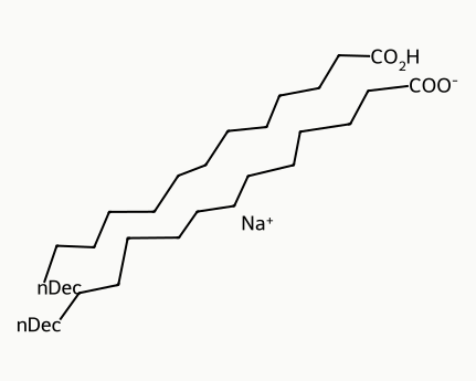 CCCCCCCCCCCCCCCCCCCCCC(=O)O.CCCCCCCCCCCCCCCCCCCCCC(=O)[O-].[Na+]